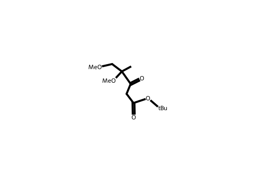 COCC(C)(OC)C(=O)CC(=O)OC(C)(C)C